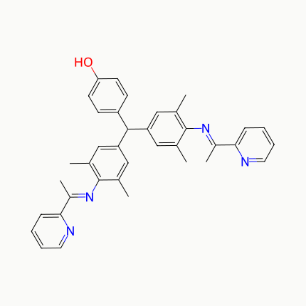 CC(=Nc1c(C)cc(C(c2ccc(O)cc2)c2cc(C)c(N=C(C)c3ccccn3)c(C)c2)cc1C)c1ccccn1